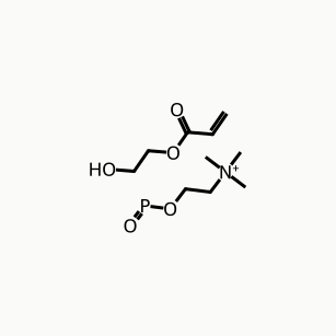 C=CC(=O)OCCO.C[N+](C)(C)CCOP=O